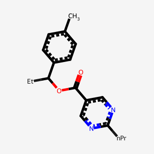 CCCc1ncc(C(=O)OC(CC)c2ccc(C)cc2)cn1